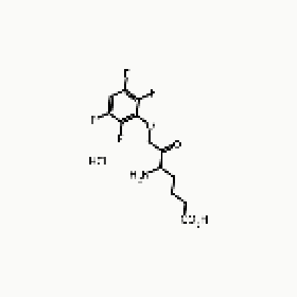 Cl.NC(CCCC(=O)O)C(=O)COc1c(F)c(F)cc(F)c1F